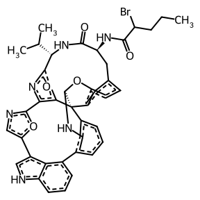 CCCC(Br)C(=O)N[C@H]1Cc2ccc3c(c2)[C@]24c5cccc(c5NC2O3)-c2cccc3[nH]cc(c23)-c2cnc(o2)-c2nc(oc24)[C@H](C(C)C)NC1=O